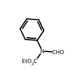 CCOC(=O)N(C=O)c1ccccc1